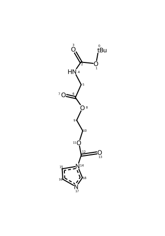 CC(C)(C)OC(=O)NCC(=O)OCCOC(=O)n1ccnc1